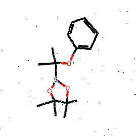 CC(C)(Oc1ccccc1)B1OC(C)(C)C(C)(C)O1